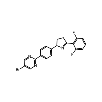 Fc1cccc(F)c1C1=NC(c2ccc(-c3ncc(Br)cn3)cc2)CC1